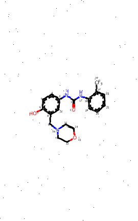 O=C(Nc1ccc(O)c(CN2CCOCC2)c1)Nc1ccccc1C(F)(F)F